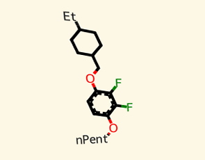 CCCCCOc1ccc(OCC2CCC(CC)CC2)c(F)c1F